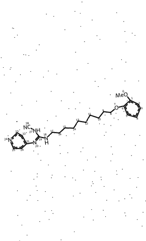 COc1ccccc1OCCCCCCCCCCN/C(=N/c1ccncc1)NC#N